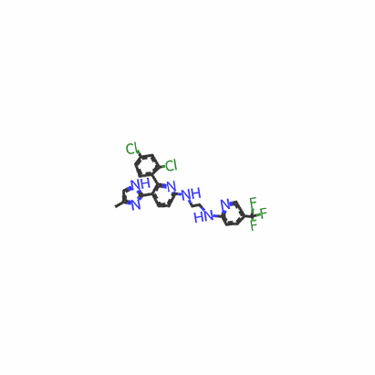 Cc1c[nH]c(-c2ccc(NCCNc3ccc(C(F)(F)F)cn3)nc2-c2ccc(Cl)cc2Cl)n1